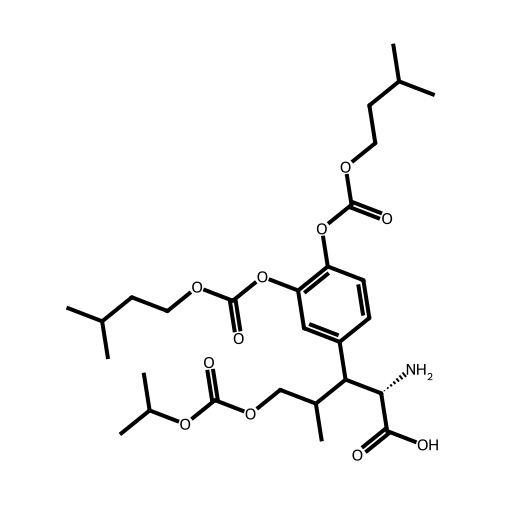 CC(C)CCOC(=O)Oc1ccc(C(C(C)COC(=O)OC(C)C)[C@H](N)C(=O)O)cc1OC(=O)OCCC(C)C